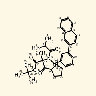 CC(N)C(=O)N(Cc1cccc(-c2ccc3ccccc3c2)c1)C(C)(C(=O)OC(C)(C)C)C(=O)C1CCCN1